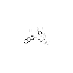 Cc1c2ccccc2cc2cc(C(=O)NCC(=O)N3CC4(C[C@H]3C(=O)NC(C)c3cc(C(=N)N)cs3)OCCO4)ccc12